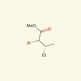 CC[C@@H](C)C(Br)C(=O)OC